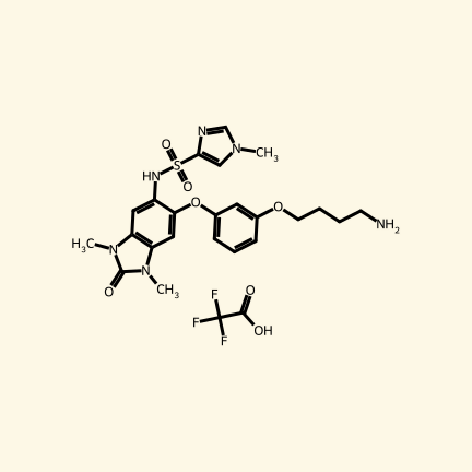 Cn1cnc(S(=O)(=O)Nc2cc3c(cc2Oc2cccc(OCCCCN)c2)n(C)c(=O)n3C)c1.O=C(O)C(F)(F)F